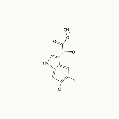 COC(=O)C(=O)c1c[nH]c2cc(Cl)c(F)cc12